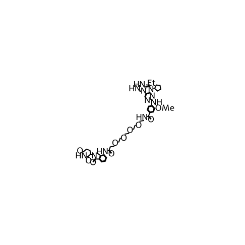 CC[C@@H]1C(=N)N(C=N)c2cnc(Nc3ccc(C(=O)NCCOCCOCCOCCOCCC(=O)Nc4cccc5c4CN(C4CCC(=O)NC4=O)C5=O)cc3OC)nc2N1C1CCCC1